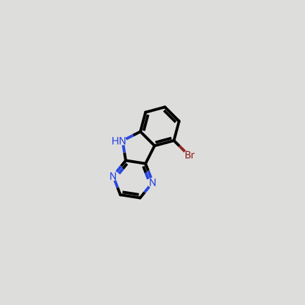 Brc1cccc2[nH]c3nccnc3c12